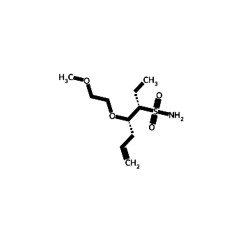 C=CC[C@H](OCCOC)[C@H](CC)S(N)(=O)=O